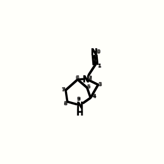 N#CN1CC2CC1CCN2